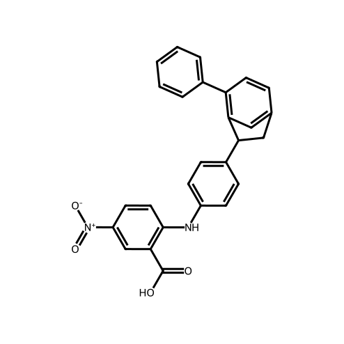 O=C(O)c1cc([N+](=O)[O-])ccc1Nc1ccc(C2Cc3ccc(-c4ccccc4)c2c3)cc1